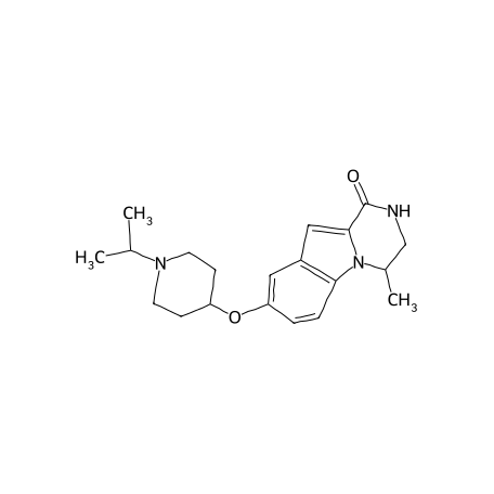 CC(C)N1CCC(Oc2ccc3c(c2)cc2n3C(C)CNC2=O)CC1